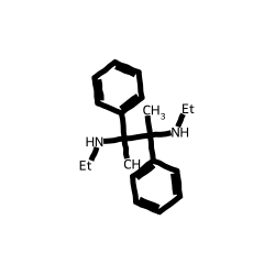 CCNC(C)(c1ccccc1)C(C)(NCC)c1ccccc1